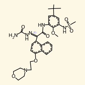 COc1c(NC(=O)/C(=N/NC(N)=O)c2ccc(OCCN3CCOCC3)c3ccccc23)cc(C(C)(C)C)cc1NS(C)(=O)=O